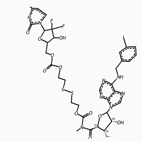 CN(C(=O)OCCSSCCOC(=O)OCC1OC(n2ccc(N)nc2=O)C(F)(F)C1O)C(=O)[C@H]1OC(n2cnc3c(NCc4cccc(I)c4)ncnc32)[C@H](O)[C@@H]1O